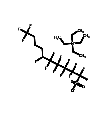 CC[N+](CC)(CC)CC.O=S(=O)([O-])C(F)(F)C(F)(F)C(F)(F)C(F)(F)C(F)(F)C(F)CCCC(F)(F)F